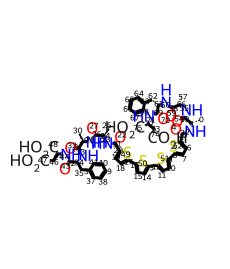 C[C@H](NC(=O)c1ccc(-c2ccc(-c3ccc(-c4ccc(C(=O)N[C@H](C)C(=O)N[C@H](C)C(=O)NC(Cc5ccccc5)C(=O)N[C@H](CC(=O)O)C(=O)O)s4)s3)s2)s1)C(=O)N[C@@H](C)C(=O)N[C@@H](Cc1ccccc1)C(=O)N[C@@H](CC(=O)O)C(=O)O